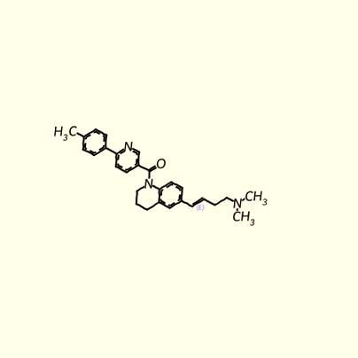 Cc1ccc(-c2ccc(C(=O)N3CCCc4cc(/C=C/CCN(C)C)ccc43)cn2)cc1